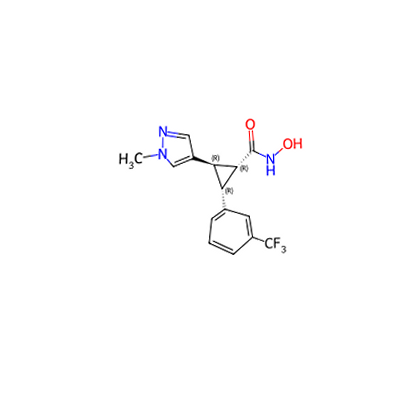 Cn1cc([C@H]2[C@H](C(=O)NO)[C@@H]2c2cccc(C(F)(F)F)c2)cn1